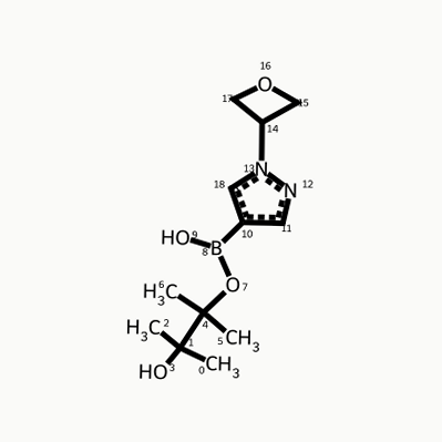 CC(C)(O)C(C)(C)OB(O)c1cnn(C2COC2)c1